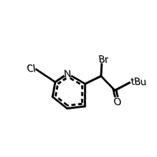 CC(C)(C)C(=O)C(Br)c1cccc(Cl)n1